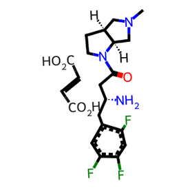 CN1C[C@@H]2CCN(C(=O)C[C@H](N)Cc3cc(F)c(F)cc3F)[C@@H]2C1.O=C(O)/C=C/C(=O)O